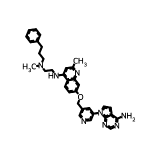 Cc1cc(NCCN(C)CCCc2ccccc2)c2ccc(OCc3cncc(-n4ccc5c(N)ncnc54)c3)cc2n1